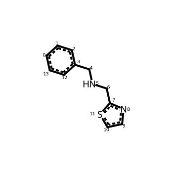 c1ccc(CNCc2nccs2)cc1